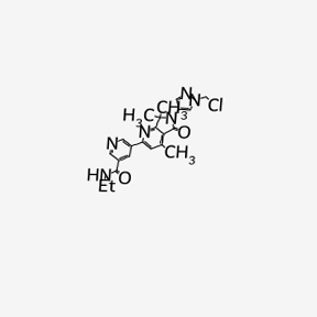 CCNC(=O)c1cncc(-c2cc(C)c3c(n2)C(C)(C)N(c2cnn(CCl)c2)C3=O)c1